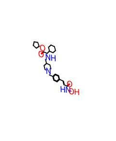 O=C(/C=C/c1ccc(CN2CCC(CN[C@H](C(=O)OC3CCCC3)C3CCCCC3)CC2)cc1)NO